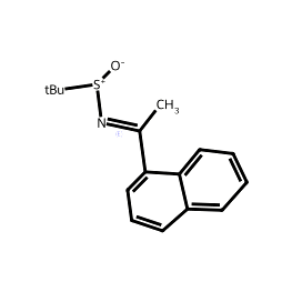 C/C(=N\[S+]([O-])C(C)(C)C)c1cccc2ccccc12